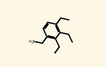 BCc1ccc(CC)c(CC)c1CC